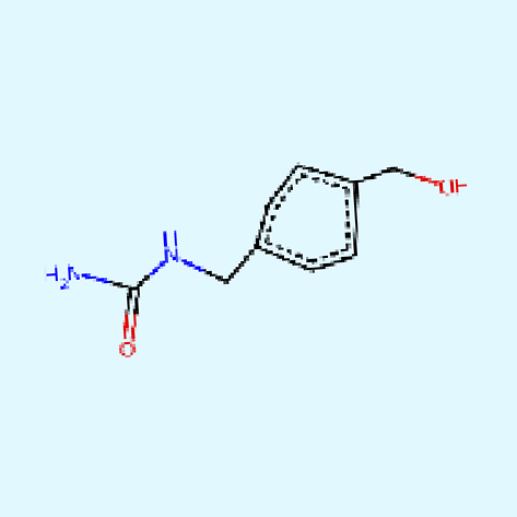 NC(=O)NCc1ccc(CO)cc1